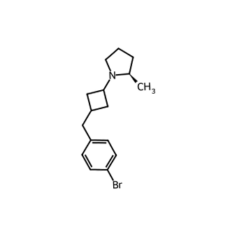 C[C@@H]1CCCN1C1CC(Cc2ccc(Br)cc2)C1